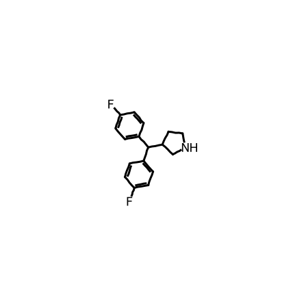 Fc1ccc(C(c2ccc(F)cc2)C2CCNC2)cc1